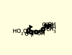 CC1C(P(=O)(O)O)OC(=O)N1c1ccc(OCC2(O)CCN(c3cc4c(cc3F)c(=O)c(C(=O)O)cn4C3CC3)CC2)c(F)c1